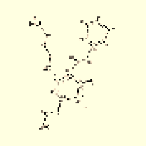 CC(=O)SC[C@H]1O[C@H](OCCCO)[C@H](OCc2ccccc2)[C@@H](C)[C@@H]1C